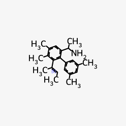 C/C=C(\C)c1c(C)c(C)cc(C(C)N)c1-c1cc(C)cc(C)c1